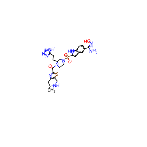 CC1Cc2nc(C(=O)N3CCN(S(=O)(=O)c4cc5cc(/C(N)=N\O)ccc5[nH]4)CC3CCc3nnn[nH]3)sc2CN1